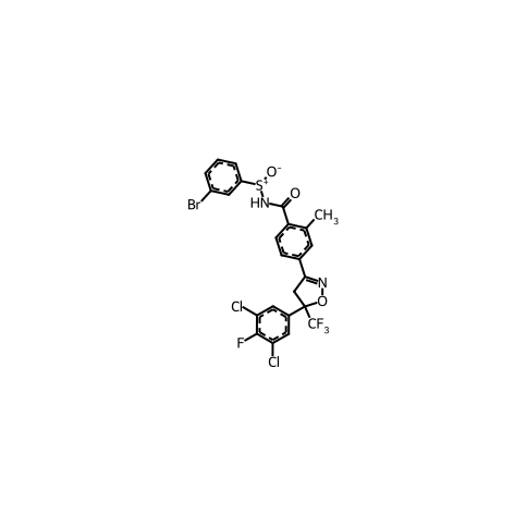 Cc1cc(C2=NOC(c3cc(Cl)c(F)c(Cl)c3)(C(F)(F)F)C2)ccc1C(=O)N[S+]([O-])c1cccc(Br)c1